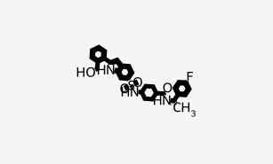 C[C@@H](NC(=O)C1CCC(NS(=O)(=O)c2ccc3cc(-c4ccccc4CO)[nH]c3c2)CC1)c1ccc(F)cc1